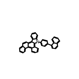 c1ccc2c(-c3ccc(-n4c5ccccc5c5c6ccc7ccccc7c6c6ccccc6c54)cc3)cccc2c1